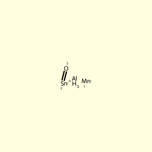 [AlH3].[Mn].[O]=[Sn]